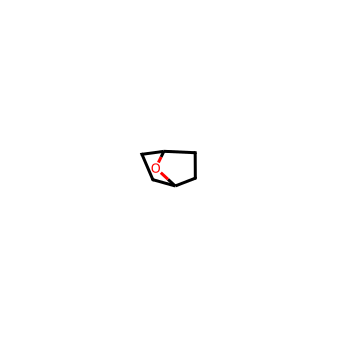 C1CC2CCC1O2